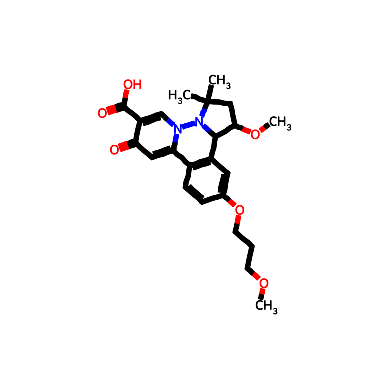 COCCCOc1ccc2c(c1)C1C(OC)CC(C)(C)N1n1cc(C(=O)O)c(=O)cc1-2